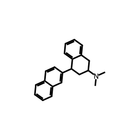 CN(C)C1Cc2ccccc2C(c2ccc3ccccc3c2)C1